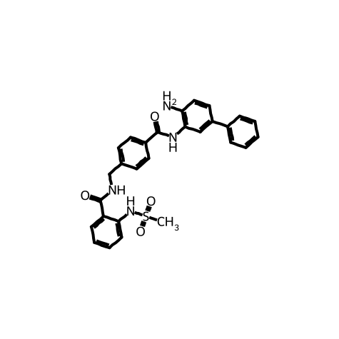 CS(=O)(=O)Nc1ccccc1C(=O)NCc1ccc(C(=O)Nc2cc(-c3ccccc3)ccc2N)cc1